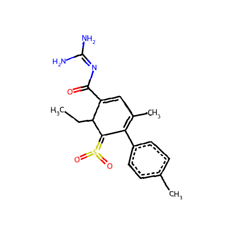 CCC1C(C(=O)N=C(N)N)=CC(C)=C(c2ccc(C)cc2)C1=S(=O)=O